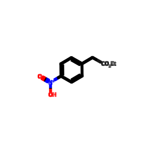 CCOC(=O)Cc1ccc([N+](=O)O)cc1